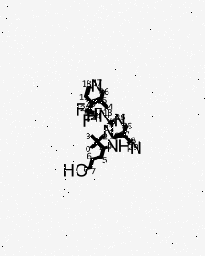 CC(C)(C)C(CCCO)Nc1nc(NCc2cnccc2C(F)(F)F)ncc1C#N